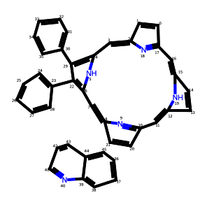 C1=Cc2cc3[nH]c(cc4nc(cc5ccc(cc1n2)[nH]5)C=C4)c(-c1ccccc1)c3-c1ccccc1.c1ccc2ncccc2c1